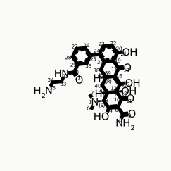 CN(C)[C@@H]1C(O)=C(C(N)=O)C(=O)[C@@]2(O)C(O)=C3C(=O)c4c(O)ccc(-c5cccc(C(=O)NCCN)c5)c4C[C@H]3C[C@@H]12